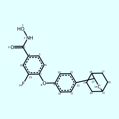 O=C(NO)c1ccc(Oc2ccc(C3CC4CCC3CC4)cc2)c(F)c1